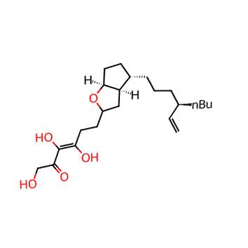 C=C[C@H](CCCC)CCC[C@H]1CC[C@@H]2OC(CCC(O)=C(O)C(=O)CO)C[C@H]12